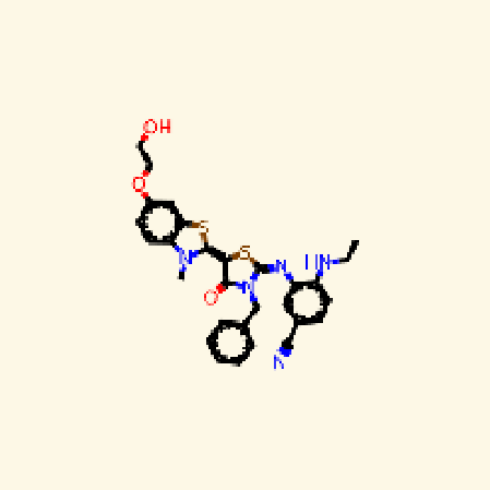 CCNc1ccc(C#N)cc1/N=C1/S/C(=C2\Sc3cc(OCCO)ccc3N2C)C(=O)N1Cc1ccccc1